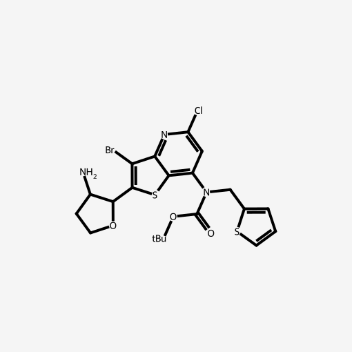 CC(C)(C)OC(=O)N(Cc1cccs1)c1cc(Cl)nc2c(Br)c(C3OCCC3N)sc12